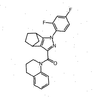 O=C(c1nn(-c2ccc(F)cc2F)c2c1C1CCC2C1)N1CCCc2ccccc21